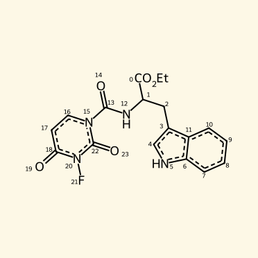 CCOC(=O)C(Cc1c[nH]c2ccccc12)NC(=O)n1ccc(=O)n(F)c1=O